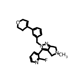 CN1Cc2nn(Cc3cccc(C4=CCOCC4)c3)c(-c3cccnc3F)c2C1